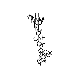 Cc1cc(NC(=O)c2ccc(C3=CCN(/C(=N/C(=O)OC(C)(C)C)NC(=O)OC(C)(C)C)CC3)c(Cl)c2)ccc1N1CCN(/C(=N/C(=O)OC(C)(C)C)NC(=O)OC(C)(C)C)CC1